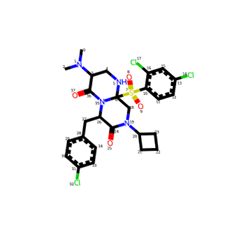 CN(C)C1CNC2(S(=O)(=O)c3ccc(Cl)cc3Cl)CN(C3CCC3)C(=O)C(Cc3ccc(Cl)cc3)N2C1=O